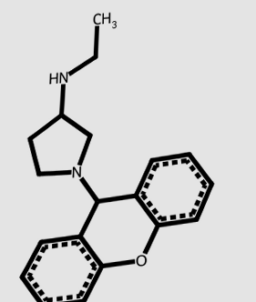 CCNC1CCN(C2c3ccccc3Oc3ccccc32)C1